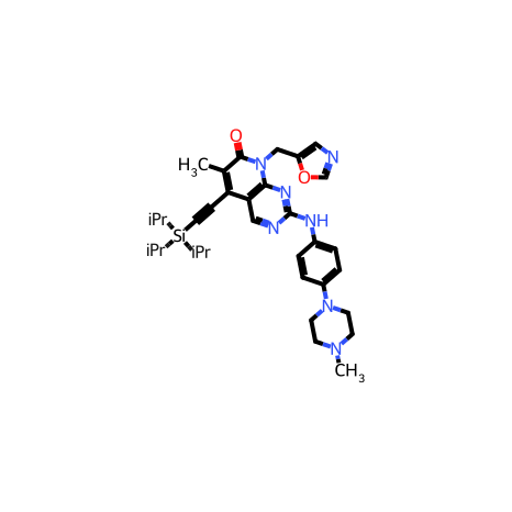 Cc1c(C#C[Si](C(C)C)(C(C)C)C(C)C)c2cnc(Nc3ccc(N4CCN(C)CC4)cc3)nc2n(Cc2cnco2)c1=O